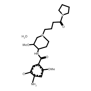 COc1cc(N)c(Cl)cc1C(=O)NC1CCN(CCCC(=O)N2CCCC2)CC1OC.O